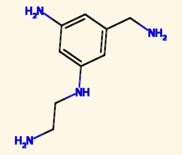 NCCNc1cc(N)cc(CN)c1